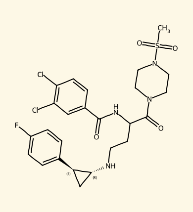 CS(=O)(=O)N1CCN(C(=O)C(CCN[C@@H]2C[C@H]2c2ccc(F)cc2)NC(=O)c2ccc(Cl)c(Cl)c2)CC1